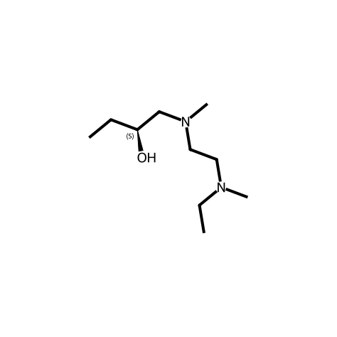 CC[C@H](O)CN(C)CCN(C)CC